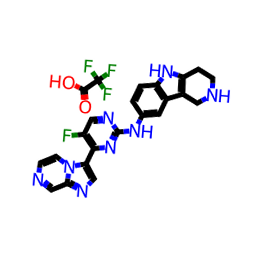 Fc1cnc(Nc2ccc3[nH]c4c(c3c2)CNCC4)nc1-c1cnc2cnccn12.O=C(O)C(F)(F)F